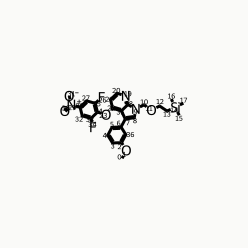 COc1cccc(-c2cn(COCC[Si](C)(C)C)c3nccc(Oc4c(F)cc([N+](=O)[O-])cc4F)c23)c1